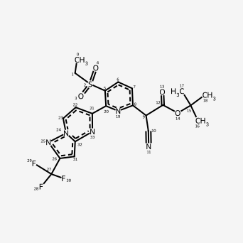 CCS(=O)(=O)c1ccc(C(C#N)C(=O)OC(C)(C)C)nc1-c1ccn2nc(C(F)(F)F)cc2n1